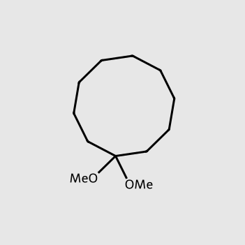 COC1(OC)CCCCCCCCC1